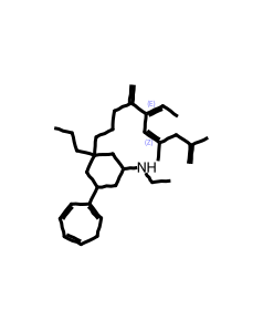 C=C(C)C/C(C)=C\C(=C/C)C(=C)CCCC1(CCC)CC(NCC)CC(C2=CCC=CC=C2)C1